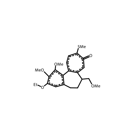 CCOc1cc2c(c(OC)c1OC)-c1ccc(SC)c(=O)cc1C(COC)CC2